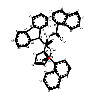 [CH2]=[Ti]([O]C(=O)c1cccc2ccccc12)([O]C(=O)c1cccc2ccccc12)([C]1=CC=CC1)[CH]1c2ccccc2-c2ccccc21